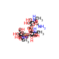 CC(=O)NC1[C@@H](OCCN)OC(COP(=O)(O)C[C@H]2OC(COP(=O)(O)C[C@H]3OC(CO)[C@@H](O)[C@H](O)C3NC(C)=O)[C@@H](O)[C@H](O)C2NC(C)=O)[C@@H](O)[C@@H]1O